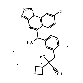 C#CC(O)(Cc1cccc(N(C)c2nc3nncn3c3cc(Cl)ccc23)c1)C1CCC1